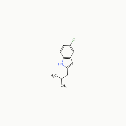 CC(C)Cc1cc2cc(Cl)ccc2[nH]1